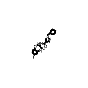 CN1C(=O)C(NC(=O)c2cn(Cc3ccccc3)nn2)COc2ccc(F)cc21